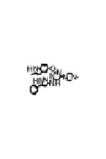 Cc1cc2cc(Oc3nc(Nc4cc(-c5ccccc5)[nH]n4)cc(N4CCN(C)CC4)n3)ccc2[nH]1